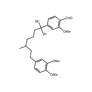 COc1cc(C(C#N)(CCCN(C)CCc2ccc(OC)c(OC)c2)C(C)C)ccc1C=O